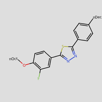 CCCCCCCCCCc1ccc(-c2nnc(-c3ccc(OCCCCCCCC)c(F)c3)s2)cc1